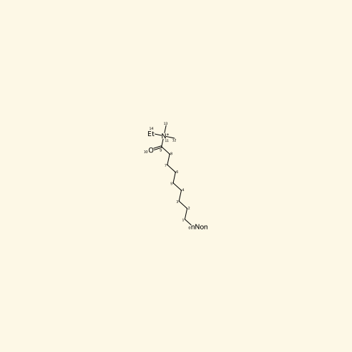 CCCCCCCCCCCCCCCCCC(=O)[N+](C)(C)CC